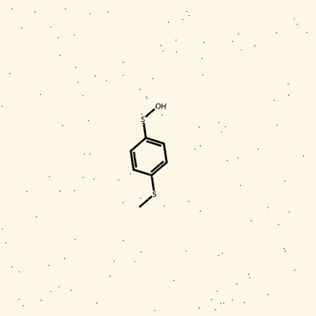 CSc1ccc(SO)cc1